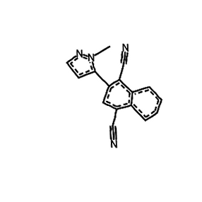 Cn1nccc1-c1cc(C#N)c2ccccc2c1C#N